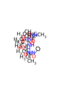 CC[C@H](C)[C@H](NC(=O)[C@H](C)C[C@H](O)[C@H](CC(C)C)NC(=O)[C@@H](CCS(C)(=O)=O)NC(=O)[C@H](CC(C)C)NC(=O)OC(C)(C)C)C(=O)NCc1ccccc1